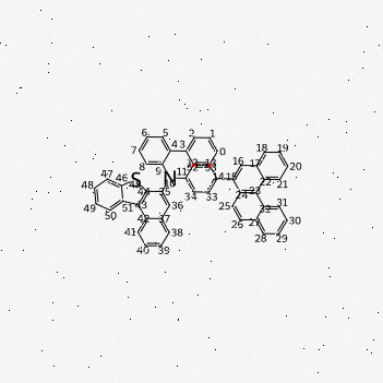 c1ccc(-c2ccccc2N(c2ccc(-c3cc4ccccc4c4c3ccc3ccccc34)cc2)c2cc3ccccc3c3c2sc2ccccc23)cc1